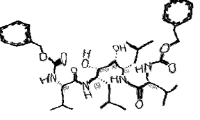 CC(C)C[C@H](NC(=O)[C@@H](NC(=O)OCc1ccccc1)C(C)C)[C@H](O)[C@H](O)[C@H](CC(C)C)NC(=O)[C@@H](NC(=O)OCc1ccccc1)C(C)C